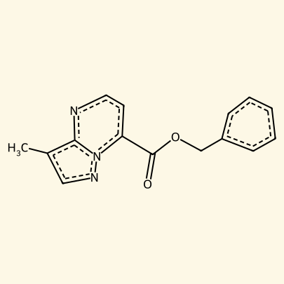 Cc1cnn2c(C(=O)OCc3ccccc3)ccnc12